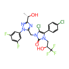 C[C@H](O)c1nc(Cn2c(Cl)c(-c3ccc(Cl)cc3)n(C[C@H](O)C(F)(F)F)c2=O)n(-c2cc(F)cc(F)c2)n1